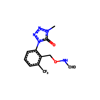 Cn1nnn(-c2cccc(C(F)(F)F)c2CONC=O)c1=O